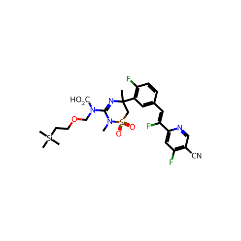 CN1C(N(COCC[Si](C)(C)C)C(=O)O)=NC(C)(c2cc(C=C(F)c3cc(F)c(C#N)cn3)ccc2F)CS1(=O)=O